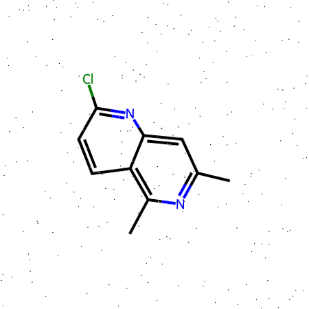 Cc1cc2nc(Cl)ccc2c(C)n1